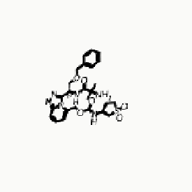 CC(C)(N)C(=O)N[C@H](COCc1ccccc1)c1nnc2cccc(COC(=O)NC3CCS(=O)(=O)C3)n12